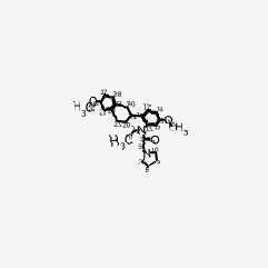 CCN(C(=O)CN1CCCC1)c1cc(OC)ccc1C1CCc2cc(OC)ccc2C1